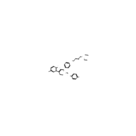 Cc1ccc(OC(=O)N2CCC3=C(NC4C=CC(Cl)=CC34)[C@@H]2c2ccc(OCCC(O)CN3CCOCC3)cc2)cc1